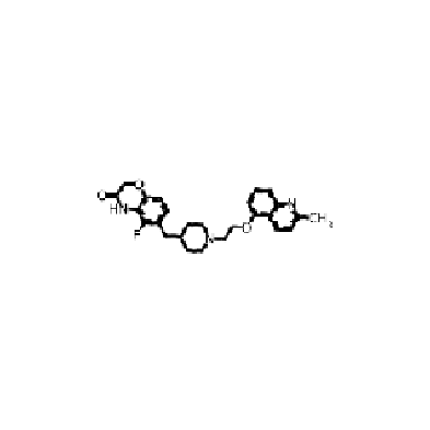 Cc1ccc2c(OCCN3CCC(Cc4ccc5c(c4F)NC(=O)CO5)CC3)cccc2n1